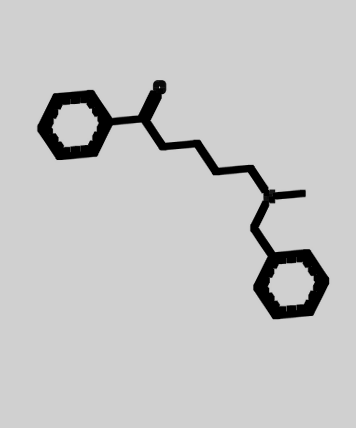 CN(CCCCC(=O)c1ccccc1)Cc1ccccc1